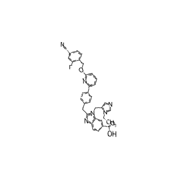 CCn1cncc1Cn1c(Cc2ccc(-c3cccc(OCc4ccc(C#N)cc4F)n3)cc2)nc2ccc(C(=O)O)cc21